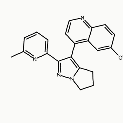 Cc1cccc(-c2nn3c(c2-c2ccnc4ccc(O)cc24)CCC3)n1